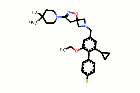 CC1(C(=O)O)CCN(C2=NOC3(C2)CN(Cc2cc(OCC(F)(F)F)c(-c4ccc(F)cc4)c(C4CC4)c2)C3)CC1